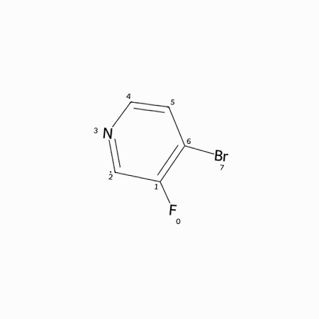 Fc1[c]nccc1Br